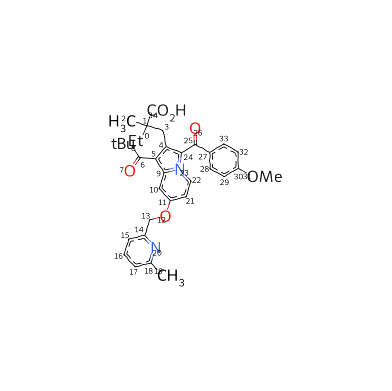 CCC(C)(Cc1c(C(=O)C(C)(C)C)c2cc(OCc3cccc(C)n3)ccn2c1C(=O)c1ccc(OC)cc1)C(=O)O